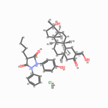 CCCCC1C(=O)N(c2ccccc2)N(c2ccc(O)cc2)C1=O.C[C@]12C/C(=C/O)C(=O)C[C@@H]1CC[C@@H]1[C@@H]2CC[C@@]2(C)[C@H]1CC[C@]2(C)O.[Cl-].[H+]